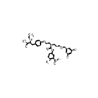 CCOC(Cc1ccc(OCCN(CCCOCc2cc(Cl)cc(Cl)c2)C(=O)Oc2ccc(C)c([N+](=O)[O-])c2)cc1)C(=O)O